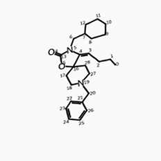 CCC/C=C1/N(CC2CCCCC2)C(=O)OC12CCN(Cc1ccccc1)CC2